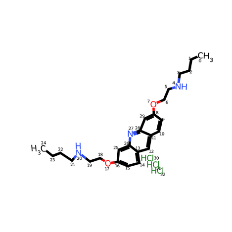 CCCCNCCOc1ccc2cc3ccc(OCCNCCCC)cc3nc2c1.Cl.Cl.Cl